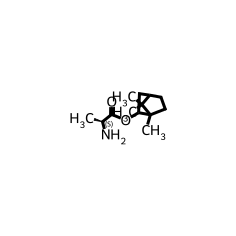 C[C@H](N)C(=O)OC1CC2CCC1(C)C2(C)C